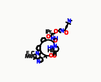 CO[C@@H](C)c1ncccc1-c1c2c3cc(ccc3n1CC(F)(F)F)-c1cccc(c1)CC(NC(=O)[C@@H](COC1CN(C(=O)C#CC(C)(C)N(C)C)C1)C(C)C)C(=O)N1CCC[C@H](BN1)C(=O)OCC(C)(C)C2